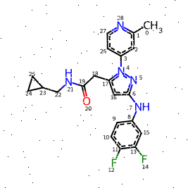 Cc1cc(-n2nc(Nc3ccc(F)c(F)c3)cc2CC(=O)NCC2CC2)ccn1